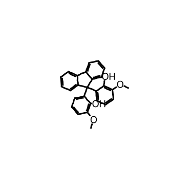 COc1cccc(C2(c3cccc(OC)c3O)c3ccccc3-c3ccccc32)c1O